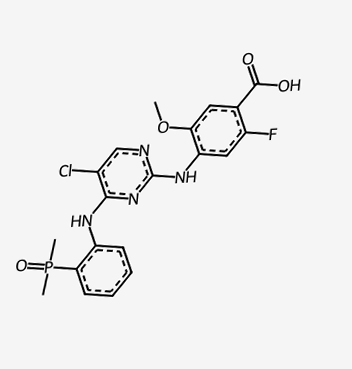 COc1cc(C(=O)O)c(F)cc1Nc1ncc(Cl)c(Nc2ccccc2P(C)(C)=O)n1